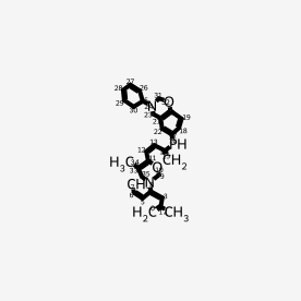 C=C(C)/C=C(\C=C/C)N1COC(/C=C\C(=C)Pc2ccc3c(c2)CN(C2C=CC=CC2)CO3)=C(C)C1